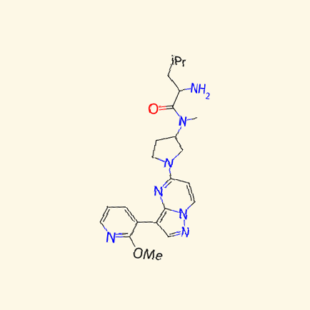 COc1ncccc1-c1cnn2ccc(N3CCC(N(C)C(=O)C(N)CC(C)C)C3)nc12